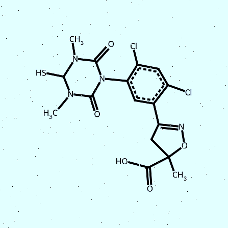 CN1C(=O)N(c2cc(C3=NOC(C)(C(=O)O)C3)c(Cl)cc2Cl)C(=O)N(C)C1S